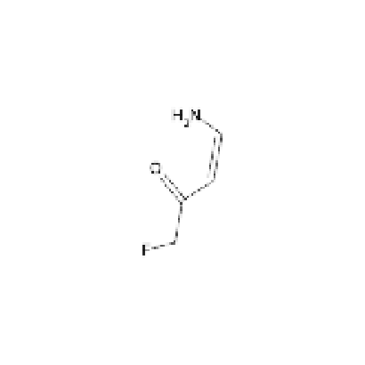 N/C=C\C(=O)CF